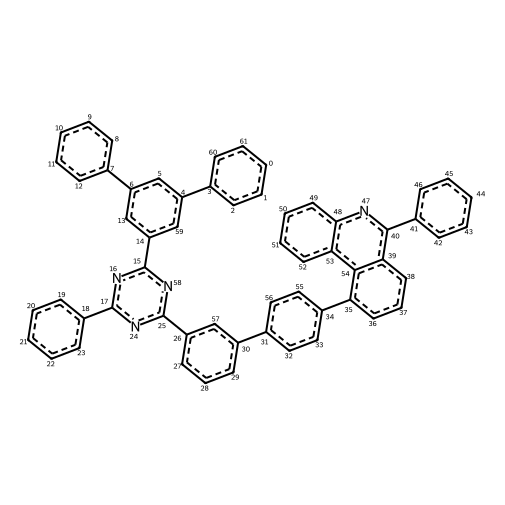 c1ccc(-c2cc(-c3ccccc3)cc(-c3nc(-c4ccccc4)nc(-c4cccc(-c5ccc(-c6cccc7c(-c8ccccc8)nc8ccccc8c67)cc5)c4)n3)c2)cc1